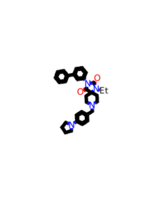 CCN1C(=O)N(c2cccc(-c3ccccc3)c2)C(=O)C12CCN(Cc1ccc(N3CCCC3)cc1)CC2